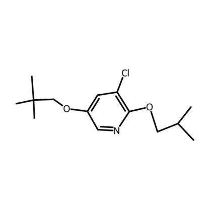 CC(C)COc1ncc(OCC(C)(C)C)cc1Cl